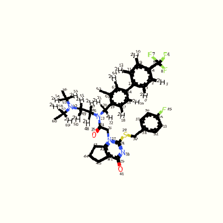 [2H]c1c([2H])c(C(F)(F)F)c([2H])c([2H])c1-c1c([2H])c([2H])c(C([2H])([2H])N(C(=O)Cn2c(SCc3ccc(F)cc3)nc(=O)c3c2CCC3)C([2H])([2H])C([2H])([2H])N(C([2H])([2H])C)C([2H])([2H])C)c(C)c1[2H]